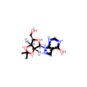 CC1(C)O[C@@H]2[C@H](O1)[C@@H](CO)O[C@H]2n1ncc2c(O)ncnc21